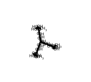 CC(=O)C[C@H]1[C@H](OCCCCC(=O)NCCCNC(=O)CCOCC(N)(COCCC(=O)NCCCNC(=O)CCCCO[C@@H]2OC[C@H](O)[C@H](O)[C@H]2NC(C)=O)COCCC(=O)NCCCNC(=O)CCCCO[C@@H]2O[C@H](CO)[C@H](O)[C@H](O)[C@H]2NC(C)=O)O[C@H](CO)[C@H](O)[C@@H]1O